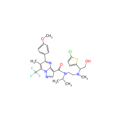 COc1ccc(-c2nc3c(C(=O)N(CCN(C)C(CO)c4ccc(Cl)s4)C(C)C)cnn3c(C(F)(F)F)c2C)cc1